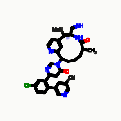 CN/C1=C(\C=N)NC(=O)C(C)CCCC(n2cnc(-c3cc(Cl)ccc3-c3cncc(C#N)c3)cc2=O)c2cc1ccn2